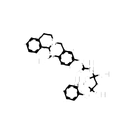 CN1c2ccc(OC(=O)NC(C)(C)CC(C)(C)Oc3ccccc3)cc2CN2CCc3ccccc3C21